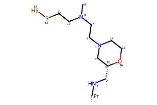 CCCNC[C@@H]1CN(CCN(C)CCSS)CCO1